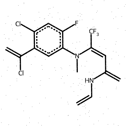 C=CNC(=C)/C=C(\N(C)c1cc(C(=C)Cl)c(Cl)cc1F)C(F)(F)F